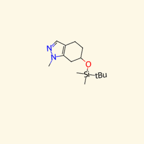 Cn1ncc2c1CC(O[Si](C)(C)C(C)(C)C)CC2